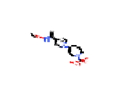 CCON=C(C)C1CCN(C2CCCN(C(=O)O)CC2)CC1